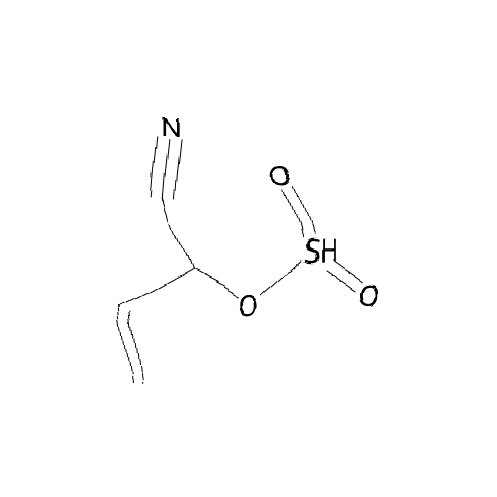 C=CC(C#N)O[SH](=O)=O